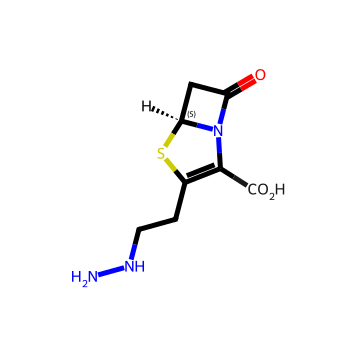 NNCCC1=C(C(=O)O)N2C(=O)C[C@@H]2S1